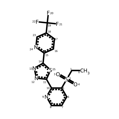 CCS(=O)(=O)c1cccnc1-c1nnc(-c2ccc(C(F)(F)F)cn2)s1